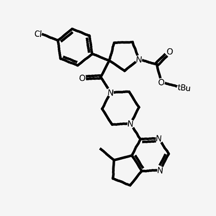 CC1CCc2ncnc(N3CCN(C(=O)C4(c5ccc(Cl)cc5)CCN(C(=O)OC(C)(C)C)C4)CC3)c21